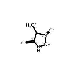 CC1C(=O)NN[N+]1=O